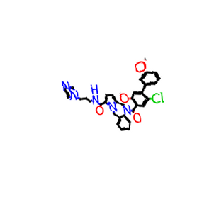 COc1cccc(-c2cc(OC)c(C(=O)N3Cc4ccc(C(=O)NCCCn5ccnc5)n4Cc4ccccc43)cc2Cl)c1